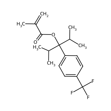 C=C(C)C(=O)OC(c1ccc(C(F)(F)F)cc1)(C(C)C)C(C)C